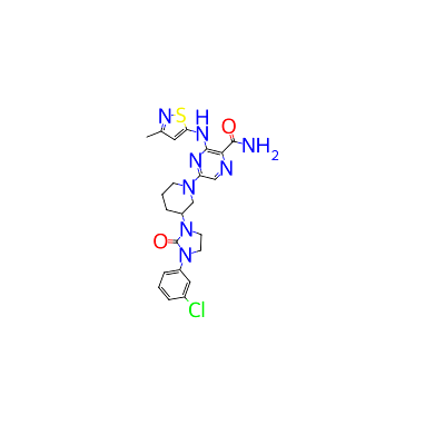 Cc1cc(Nc2nc(N3CCCC(N4CCN(c5cccc(Cl)c5)C4=O)C3)cnc2C(N)=O)sn1